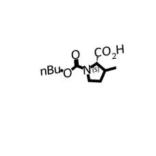 CCCCOC(=O)N1CCC(C)[C@H]1C(=O)O